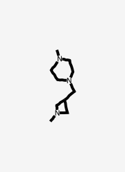 CN1CCN(CC2CN(C)C2)CC1